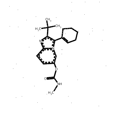 CNC(=O)Oc1ccc2nc(C(C)(C)C)c(C3=CCCCC3)n2c1